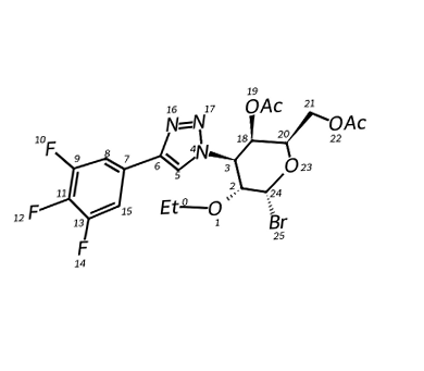 CCO[C@@H]1[C@@H](n2cc(-c3cc(F)c(F)c(F)c3)nn2)[C@@H](OC(C)=O)[C@@H](COC(C)=O)O[C@@H]1Br